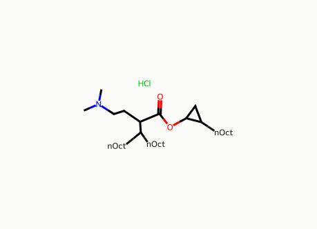 CCCCCCCCC1CC1OC(=O)C(CCN(C)C)C(CCCCCCCC)CCCCCCCC.Cl